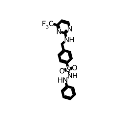 O=S(=O)(NNc1ccccc1)c1ccc(CNc2nccc(C(F)(F)F)n2)cc1